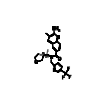 Cc1cc2cc(C(=O)N(Cc3ccc(C(F)(F)F)cn3)[C@@H](C)[C@H]3CCOC3)ccc2nc1N